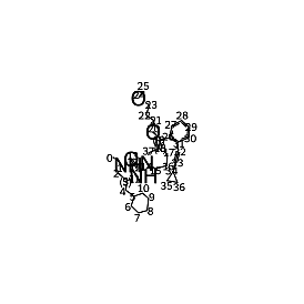 CNC[C@H](CC1CCCCC1)NC(=O)N1CCC[C@@H]([C@@H](OCCCOC)c2ccccc2C#CC2CC2)C1